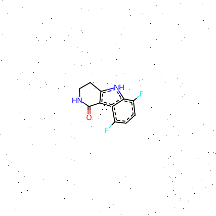 O=C1NCCc2[nH]c3c(F)ccc(F)c3c21